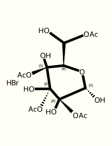 Br.CC(=O)OC(O)[C@H]1O[C@H](O)[C@@](O)(OC(C)=O)[C@](O)(OC(C)=O)[C@@]1(O)OC(C)=O